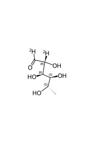 [2H]C(=O)[C@]([2H])(O)[C@H](O)[C@@H](O)[C@H](C)O